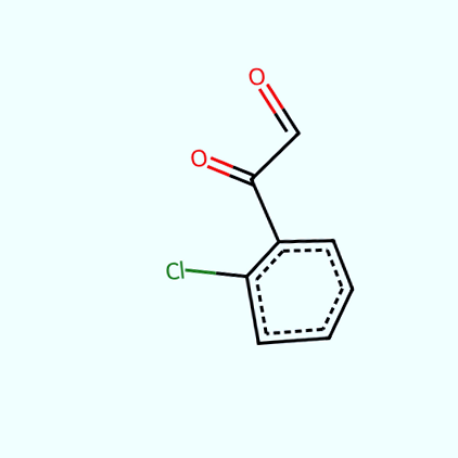 O=CC(=O)c1ccccc1Cl